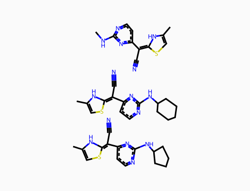 CC1=CSC(=C(C#N)c2ccnc(NC3CCCC3)n2)N1.CC1=CSC(=C(C#N)c2ccnc(NC3CCCCC3)n2)N1.CNc1nccc(C(C#N)=C2NC(C)=CS2)n1